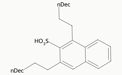 CCCCCCCCCCCCc1cc2ccccc2c(CCCCCCCCCCCC)c1S(=O)(=O)O